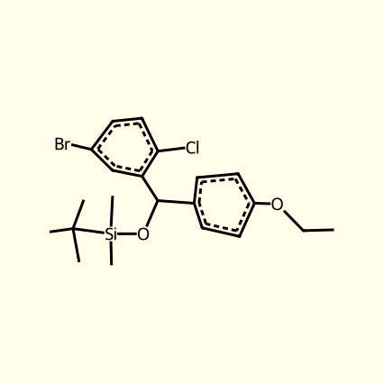 CCOc1ccc(C(O[Si](C)(C)C(C)(C)C)c2cc(Br)ccc2Cl)cc1